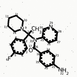 CC(c1ccc(F)cc1)(N1CCCCC1)N(C(=O)c1ccc(N)cc1)c1cccnc1